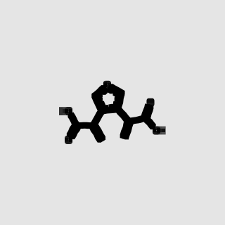 C=C(C(=O)O)c1cocc1C(=C)C(=O)O